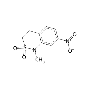 CN1c2cc([N+](=O)[O-])ccc2CCS1(=O)=O